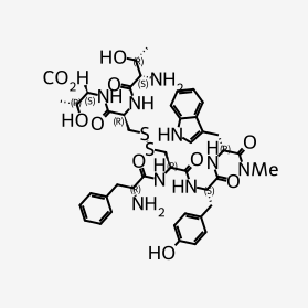 CNC(=O)[C@@H](Cc1c[nH]c2ccccc12)NC(=O)[C@H](Cc1ccc(O)cc1)NC(=O)[C@H](CSSC[C@H](NC(=O)[C@@H](N)[C@@H](C)O)C(=O)N[C@H](C(=O)O)[C@@H](C)O)NC(=O)[C@H](N)Cc1ccccc1